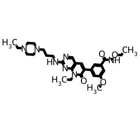 CCONC(=O)c1cc(OC)cc(-c2cc3cnc(NCCCN4CCN(CC)CC4)nc3n(CC)c2=O)c1